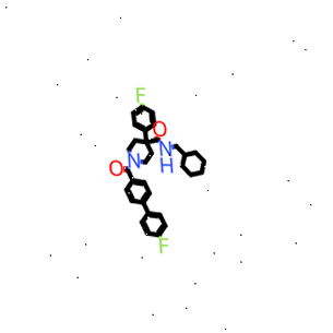 O=C(c1ccc(-c2ccc(F)cc2)cc1)N1CCC(C(=O)NCC2CCCCC2)(c2ccc(F)cc2)CC1